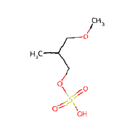 COCC(C)COS(=O)(=O)O